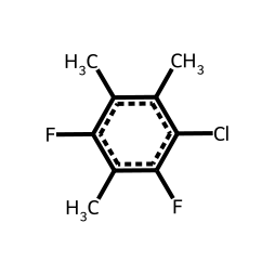 Cc1c(C)c(Cl)c(F)c(C)c1F